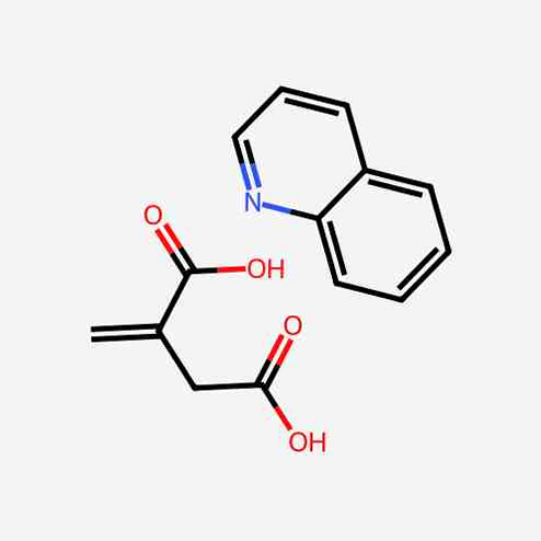 C=C(CC(=O)O)C(=O)O.c1ccc2ncccc2c1